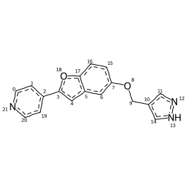 c1cc(-c2cc3cc(OCc4cn[nH]c4)ccc3o2)ccn1